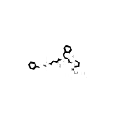 CN(C)C(=O)[C@@H]1CCCN1C(=O)C(O)C(Cc1ccccc1)NC(=O)[C@@H](N)CC(=O)NC(=O)OCc1ccccc1